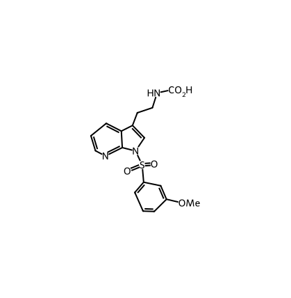 COc1cccc(S(=O)(=O)n2cc(CCNC(=O)O)c3cccnc32)c1